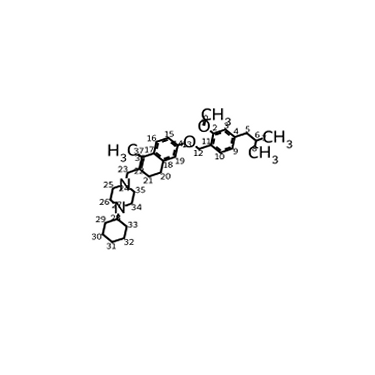 COc1cc(CC(C)C)ccc1COc1ccc2c(c1)CCC(CN1CCN(C3CCCCC3)CC1)=C2C